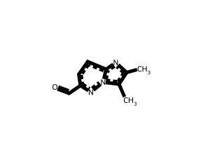 Cc1nc2ccc(C=O)nn2c1C